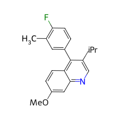 COc1ccc2c(-c3ccc(F)c(C)c3)c(C(C)C)cnc2c1